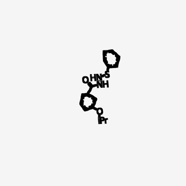 CC(C)Oc1cccc(C(=O)NNSc2ccccc2)c1